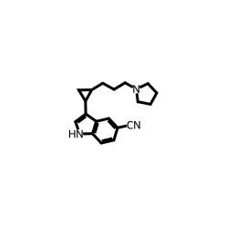 N#Cc1ccc2[nH]cc(C3CC3CCCN3CCCC3)c2c1